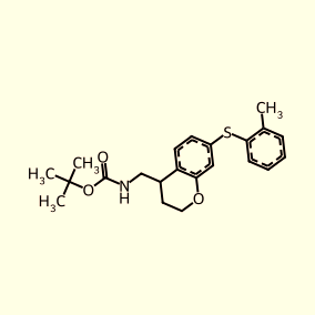 Cc1ccccc1Sc1ccc2c(c1)OCCC2CNC(=O)OC(C)(C)C